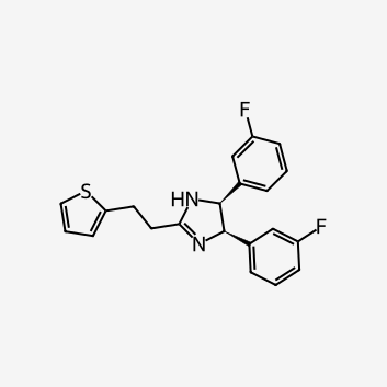 Fc1cccc([C@H]2N=C(CCc3cccs3)N[C@H]2c2cccc(F)c2)c1